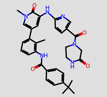 Cc1c(NC(=O)c2ccc(C(C)(C)C)cc2)cccc1-c1cc(Nc2ccc(C(=O)N3CCNC(=O)C3)cn2)c(=O)n(C)c1